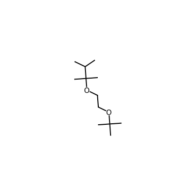 CC(C)C(C)(C)OCCOC(C)(C)C